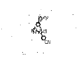 C[C@@H]1CN(c2ccc3c(c2)Cn2c(cc(-c4ccc(C#N)cc4)c2Cl)-c2nncn2-3)C[C@@H]1CN(C)C